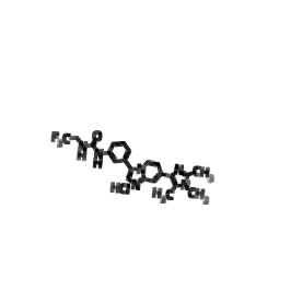 Cc1nc(-c2ccn3c(-c4cccc(NC(=O)NCC(F)(F)F)c4)cnc3c2)c(C)n1C.Cl